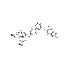 Cn1cc2cc(F)c(COc3cccc(C4CCN(Cc5nc6ccc(C(=O)O)cc6n5C[C@@H]5CCO5)CC4)n3)cc2n1